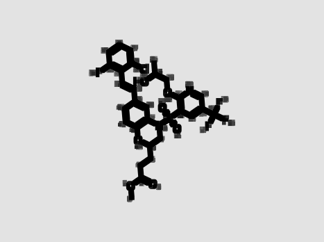 COC(=O)CCC1CN(S(=O)(=O)c2cc(C(F)(F)F)cnc2OCC(C)O)c2cc(C=Cc3c(F)cccc3Cl)ccc2O1